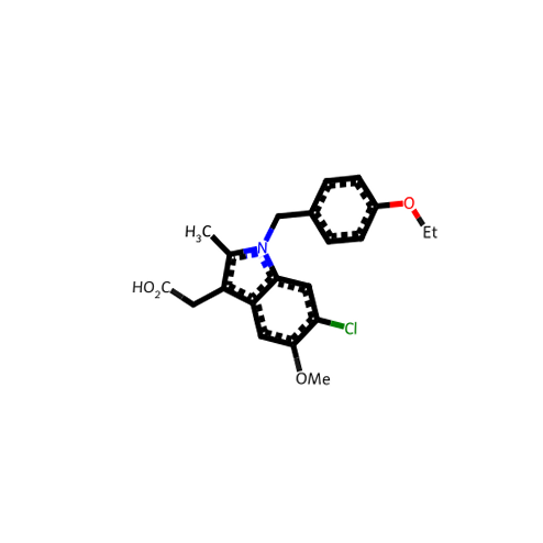 CCOc1ccc(Cn2c(C)c(CC(=O)O)c3cc(OC)c(Cl)cc32)cc1